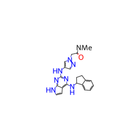 CNC(=O)Cn1cc(Nc2nc(NC3CCc4ccccc43)c3cc[nH]c3n2)cn1